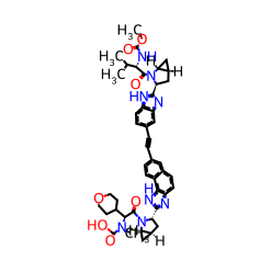 COC(=O)N[C@H](C(=O)N1[C@@H]2C[C@@H]2C[C@H]1c1nc2cc(C#Cc3ccc4c(ccc5nc([C@@H]6C[C@H]7C[C@H]7N6C(=O)[C@H](C6CCOCC6)N(C)C(=O)O)[nH]c54)c3)ccc2[nH]1)C(C)C